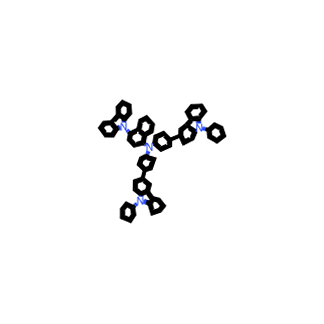 c1ccc(-n2c3ccccc3c3cc(-c4ccc(N(c5ccc(-c6ccc7c(c6)c6ccccc6n7-c6ccccc6)cc5)c5ccc(-n6c7ccccc7c7ccccc76)c6ccccc56)cc4)ccc32)cc1